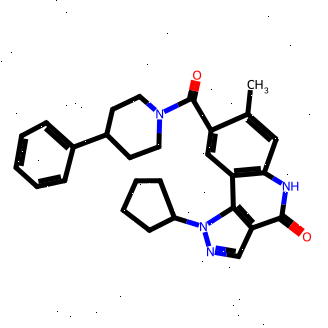 Cc1cc2[nH]c(=O)c3cnn(C4CCCC4)c3c2cc1C(=O)N1CCC(c2ccccc2)CC1